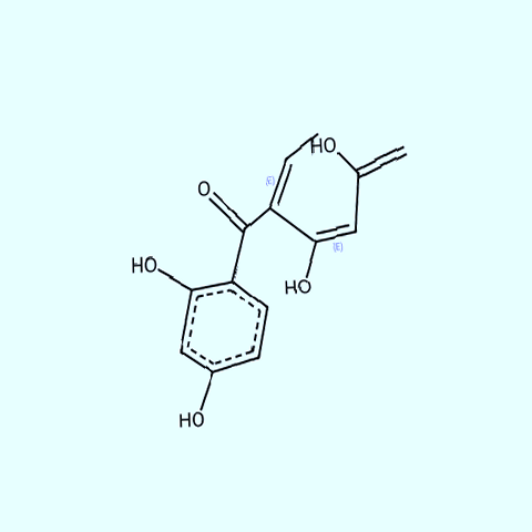 C=C(O)/C=C(O)\C(=C/C)C(=O)c1ccc(O)cc1O